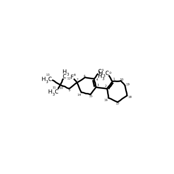 CC1=C(C2=C(C)CC(F)(CC(C)(C)C)CC2)CCCCC1